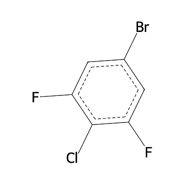 Fc1cc(Br)cc(F)c1Cl